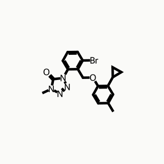 Cc1ccc(OCc2c(Br)cccc2-n2nnn(C)c2=O)c(C2CC2)c1